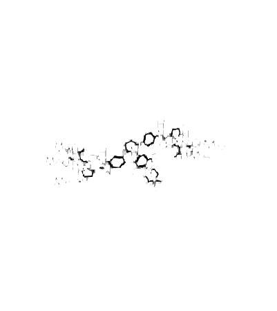 COC[C@H]1C[C@@H](c2nc3ccc([C@H]4CC[C@H](c5ccc(NC(=O)[C@@H]6CCCN6C(=O)[C@@H](NC(=O)OC)[C@@H](C)OC)cc5)N4c4cc(F)c(N5CC[Si](C)(C)CC5)c(F)c4)cc3[nH]2)N(C(=O)[C@@H](NC(=O)OC)[C@@H](C)OC)C1